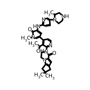 C[C@H](O)c1c(-c2cc(Nc3ccc(N4CCNC[C@@H]4C)cn3)c(=O)n(C)c2)ccnc1N1CCn2c(cc3c2CC(C)(C)C3)C1=O